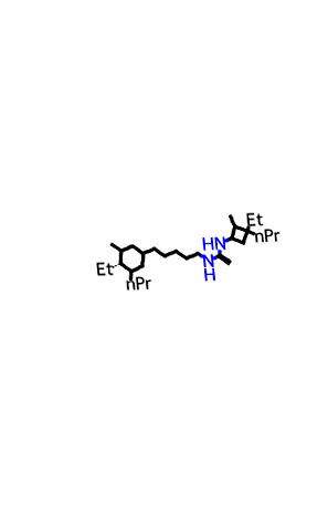 C=C(NCCCCCC1CC(C)[C@@H](CC)C(CCC)C1)NC1CC(CC)(CCC)C1C